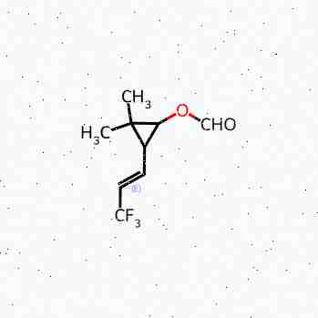 CC1(C)C(/C=C/C(F)(F)F)C1OC=O